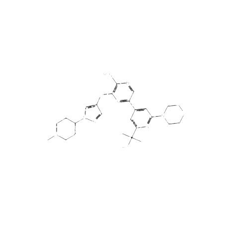 C[C@@H]1COCCN1c1cc(-c2cnc(N)c(Oc3cnn(C4CCN(C)CC4)c3)n2)cc(C(C)(C)O)n1